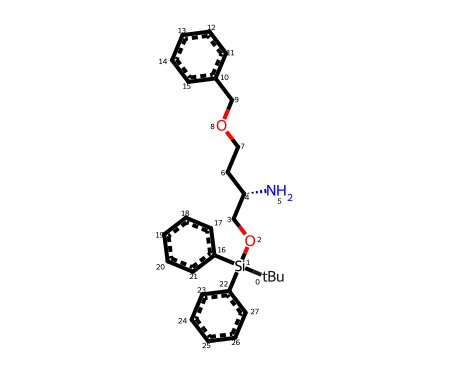 CC(C)(C)[Si](OC[C@@H](N)CCOCc1ccccc1)(c1ccccc1)c1ccccc1